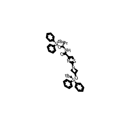 CC(C)[C@@H](NC(=O)c1csc(N2CC(O[Si](c3ccccc3)(c3ccccc3)C(C)(C)C)C2)n1)O[Si](c1ccccc1)(c1ccccc1)C(C)(C)C